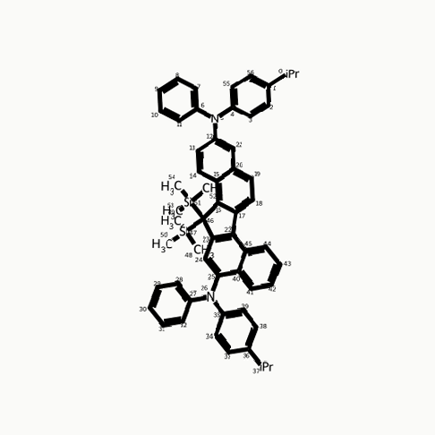 CC(C)c1ccc(N(c2ccccc2)c2ccc3c4c(ccc3c2)-c2c(cc(N(c3ccccc3)c3ccc(C(C)C)cc3)c3ccccc23)C4([Si](C)(C)C)[Si](C)(C)C)cc1